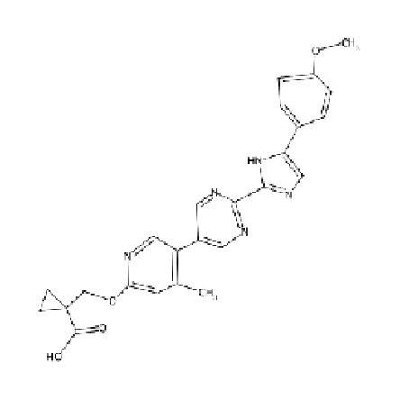 COc1ccc(-c2cnc(-c3ncc(-c4cnc(OCC5(C(=O)O)CC5)cc4C)cn3)[nH]2)cc1